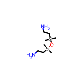 C[Si](C)(CCN)O[Si](C)(C)CCN